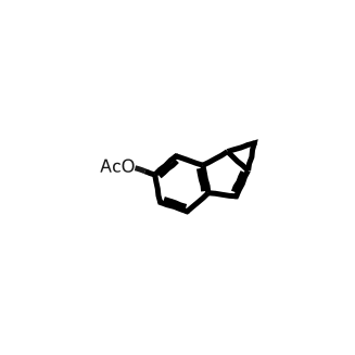 CC(=O)Oc1ccc2c(c1)C1CC1=C2